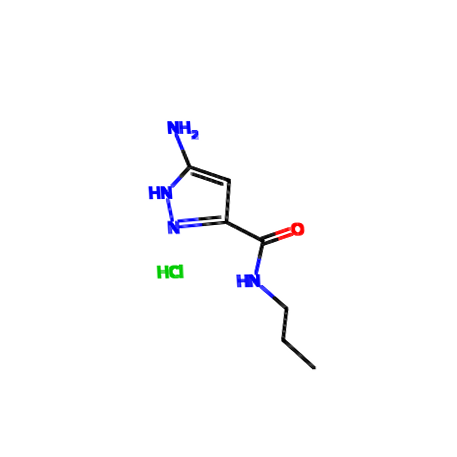 CCCNC(=O)c1cc(N)[nH]n1.Cl